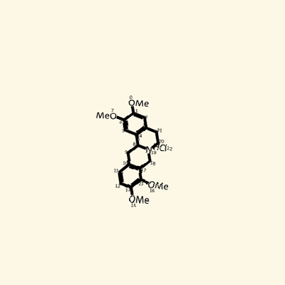 COc1cc2c(cc1OC)C1Cc3ccc(OC)c(OC)c3CN1CC2.Cl